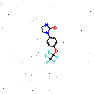 O=C1[N]CCN1c1ccc(OC(F)(F)C(F)(F)F)cc1